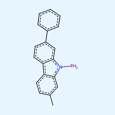 Cc1ccc2c3ccc(-c4ccccc4)cc3n(P)c2c1